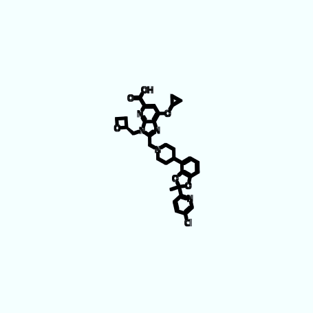 CC1(c2ccc(Cl)cn2)Oc2cccc(C3CCN(Cc4nc5c(OC6CC6)cc(C(=O)O)nc5n4C[C@@H]4CCO4)CC3)c2O1